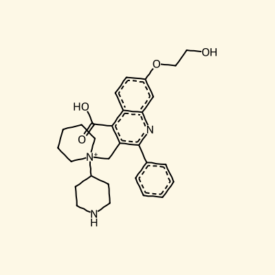 O=C(O)c1c(C[N+]2(C3CCNCC3)CCCCC2)c(-c2ccccc2)nc2cc(OCCO)ccc12